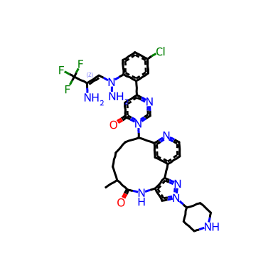 CC1CCCC(n2cnc(-c3cc(Cl)ccc3N(N)/C=C(\N)C(F)(F)F)cc2=O)c2cc(ccn2)-c2nn(C3CCNCC3)cc2NC1=O